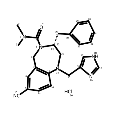 CN(C)C(=O)N1Cc2cc(C#N)ccc2N(Cc2c[nH]cn2)C[C@H]1Cc1ccccc1.Cl